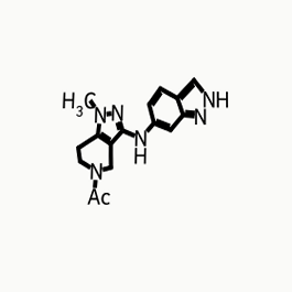 CC(=O)N1CCc2c(c(Nc3ccc4c[nH]nc4c3)nn2C)C1